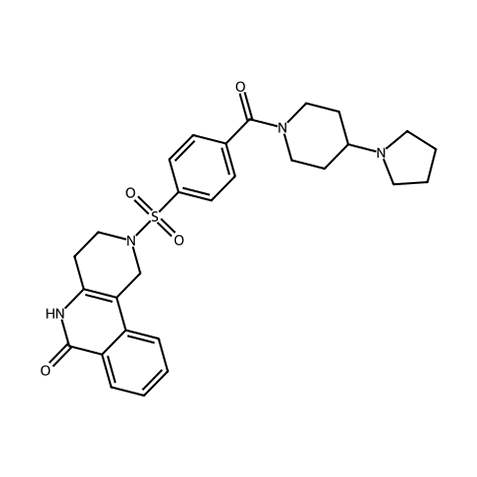 O=C(c1ccc(S(=O)(=O)N2CCc3[nH]c(=O)c4ccccc4c3C2)cc1)N1CCC(N2CCCC2)CC1